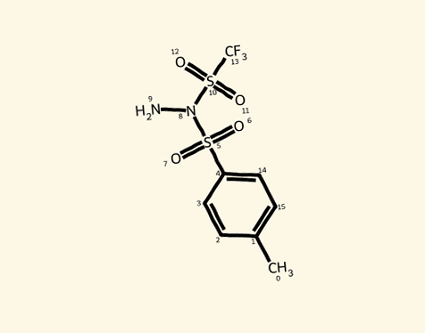 Cc1ccc(S(=O)(=O)N(N)S(=O)(=O)C(F)(F)F)cc1